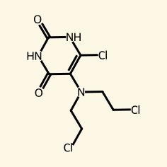 O=c1[nH]c(Cl)c(N(CCCl)CCCl)c(=O)[nH]1